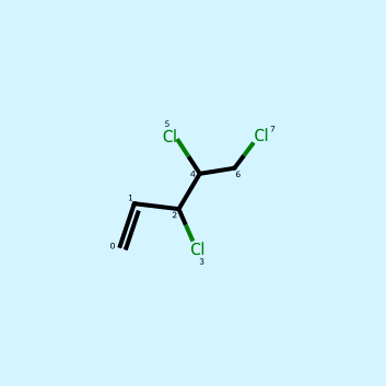 [CH]=CC(Cl)C(Cl)CCl